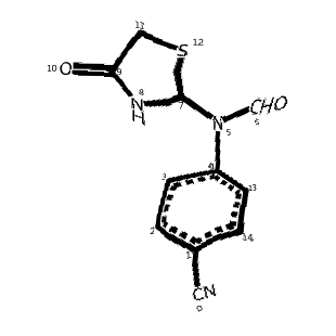 N#Cc1ccc(N(C=O)C2NC(=O)CS2)cc1